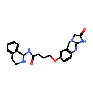 O=C1CN2Cc3cc(OCCCC(=O)NC4NCCc5ccccc54)ccc3N=C2N1